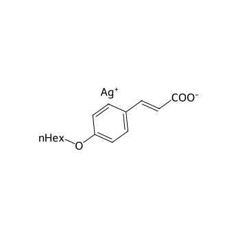 CCCCCCOc1ccc(/C=C/C(=O)[O-])cc1.[Ag+]